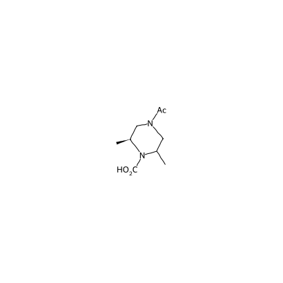 CC(=O)N1CC(C)N(C(=O)O)[C@@H](C)C1